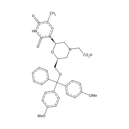 COc1ccc(C(OC[C@@H]2CN(CC(=O)O)C[C@H](n3cc(C)c(=O)[nH]c3=O)O2)(c2ccccc2)c2ccc(OC)cc2)cc1